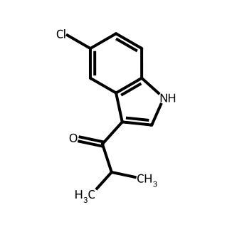 CC(C)C(=O)c1c[nH]c2ccc(Cl)cc12